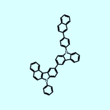 c1ccc(-n2c3ccc(-c4ccc5c(c4)c4ccccc4n5-c4ccc(-c5ccc6ccccc6c5)cc4)cc3c3c4ccccc4ccc32)cc1